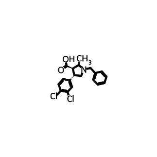 CC1[C@H](C(=O)O)[C@@H](c2ccc(Cl)c(Cl)c2)CN1Cc1ccccc1